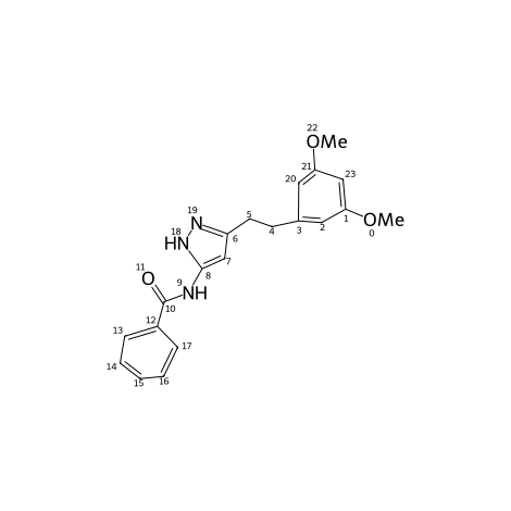 COc1cc(CCc2cc(NC(=O)c3ccccc3)[nH]n2)cc(OC)c1